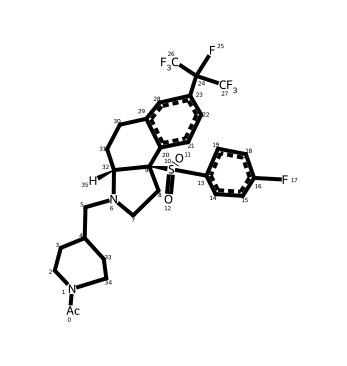 CC(=O)N1CCC(CN2CC[C@@]3(S(=O)(=O)c4ccc(F)cc4)c4ccc(C(F)(C(F)(F)F)C(F)(F)F)cc4CC[C@@H]23)CC1